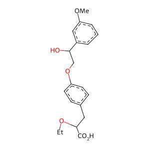 CCOC(Cc1ccc(OCC(O)c2cccc(OC)c2)cc1)C(=O)O